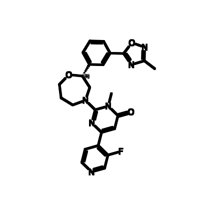 Cc1noc(-c2cccc([C@@H]3CN(c4nc(-c5ccncc5F)cc(=O)n4C)CCCO3)c2)n1